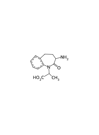 CC(C(=O)O)N1C(=O)C(N)CCc2ccccc21